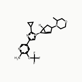 CC1COCCN1C1C=C2[C@@H](C1)[C@@H]2n1cc(-c2cnc(N)c(OC(F)(F)F)c2)nc1C1CC1